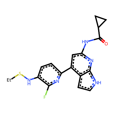 CCSNc1ccc(-c2cc(NC(=O)C3CC3)nc3[nH]ccc23)nc1F